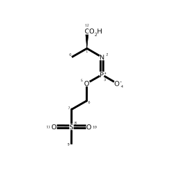 C[C@H](N=[P+]([O-])OCCS(C)(=O)=O)C(=O)O